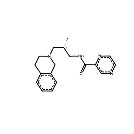 C[C@H](CNC(=O)c1cnccn1)CN1CCc2ccccc2C1